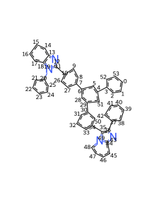 c1ccc(-c2cc(-c3ccc(-c4nc5ccccc5n4-c4ccccc4)cc3)cc(-c3cccc(-c4c(-c5ccccc5)nc5ccccn45)c3)c2)cc1